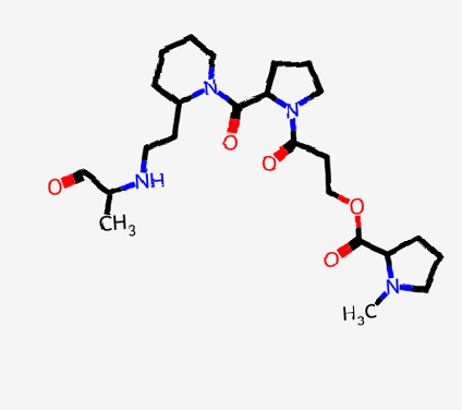 CC(C=O)NCCC1CCCCN1C(=O)C1CCCN1C(=O)CCOC(=O)C1CCCN1C